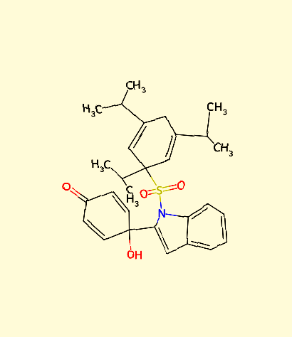 CC(C)C1=CC(C(C)C)(S(=O)(=O)n2c(C3(O)C=CC(=O)C=C3)cc3ccccc32)C=C(C(C)C)C1